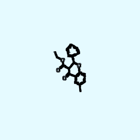 CCOC(=O)C1C(=O)c2cc(C)ccc2OC1c1ccccc1